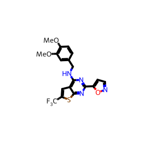 COc1ccc(CNc2nc(-c3ccno3)nc3sc(C(F)(F)F)cc23)cc1OC